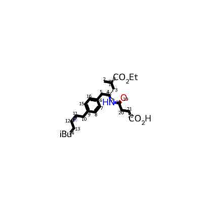 CCOC(=O)[C@H](C)C[C@@H](Cc1ccc(C/C=C\CC(C)CC)cc1)NC(=O)CCC(=O)O